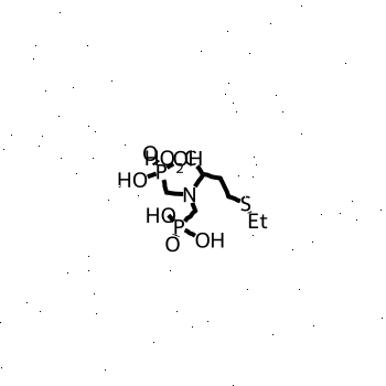 CCSCCC(C(=O)O)N(CP(=O)(O)O)CP(=O)(O)O